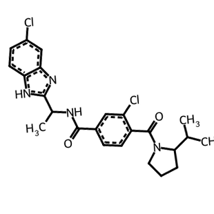 CC(NC(=O)c1ccc(C(=O)N2CCCC2C(C)C)c(Cl)c1)c1nc2cc(Cl)ccc2[nH]1